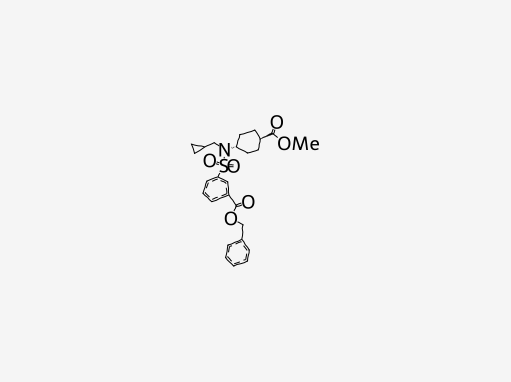 COC(=O)[C@H]1CC[C@H](N(CC2CC2)S(=O)(=O)c2cccc(C(=O)OCc3ccccc3)c2)CC1